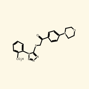 O=C(CSc1nnnn1-c1ccccc1C(=O)O)c1ccc(N2CCOCC2)cc1